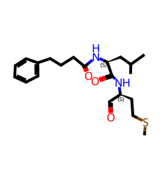 CSCC[C@@H](C=O)NC(=O)[C@H](CC(C)C)NC(=O)CCCc1ccccc1